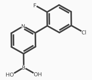 OB(O)c1ccnc(-c2cc(Cl)ccc2F)c1